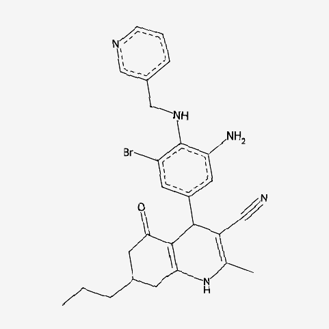 CCCC1CC(=O)C2=C(C1)NC(C)=C(C#N)C2c1cc(N)c(NCc2cccnc2)c(Br)c1